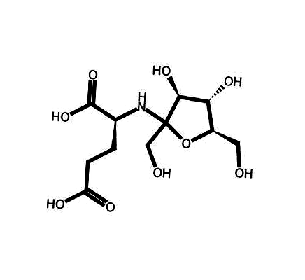 O=C(O)CC[C@H](NC1(CO)O[C@H](CO)[C@@H](O)[C@@H]1O)C(=O)O